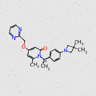 Cc1cc(OCc2ncccn2)cc(=O)n1[C@H](C)c1ccc(N2CC(C)(C)C2)cc1